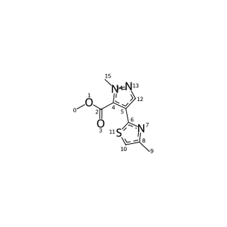 COC(=O)c1c(-c2nc(C)cs2)cnn1C